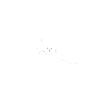 CCCCCCCCCCCCC(NCCCCC)[N+](C)([O-])CCC